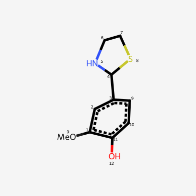 COc1cc(C2NCCS2)ccc1O